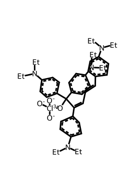 CCN(CC)c1ccc(C=CC=C(c2ccc(N(CC)CC)cc2)C(O[Cl+3]([O-])([O-])[O-])(c2ccc(N(CC)CC)cc2)c2ccc(N(CC)CC)cc2)cc1